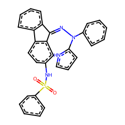 O=S(=O)(Nc1ccc2c(c1)/C(=N\N(c1ccccc1)c1ccc[nH]1)c1ccccc1-2)c1ccccc1